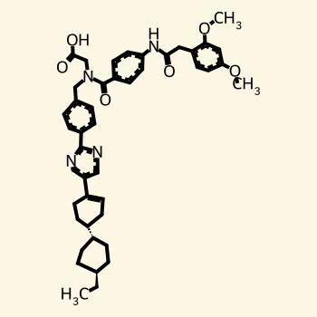 CC[C@H]1CC[C@H](C2CC=C(c3cnc(-c4ccc(CN(CC(=O)O)C(=O)c5ccc(NC(=O)Cc6ccc(OC)cc6OC)cc5)cc4)nc3)CC2)CC1